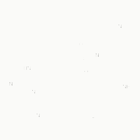 O=S(=O)(c1ccc(Nc2nccc(N3CCC4C=C(F)C=CC43)n2)cc1)N(CCN1CCCC1)C1CCNCC1